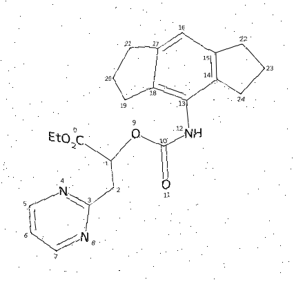 CCOC(=O)C(Cc1ncccn1)OC(=O)Nc1c2c(cc3c1CCC3)CCC2